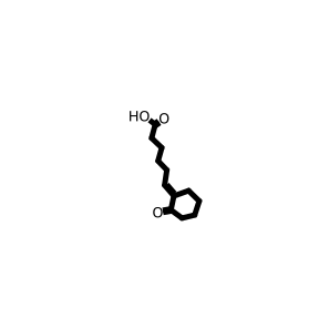 O=C(O)CCCCC=C1CCCCC1=O